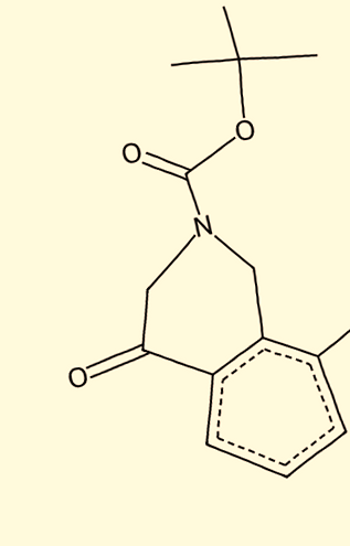 Cc1cccc2c1CN(C(=O)OC(C)(C)C)CC2=O